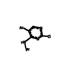 CC(=O)c1cnc(Cl)nc1NC(C)C